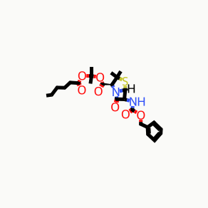 CCCCCC(=O)OC(C)(C)OC(=O)[C@@H]1N2C(=O)C(NC(=O)OCc3ccccc3)[C@H]2SC1(C)C